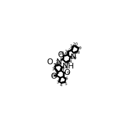 O=C1c2ccccc2C(=O)c2c(NC3=Cc4nc5ccccc5cc4C(=O)C3[N+](=O)[O-])cccc21